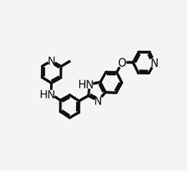 Cc1cc(Nc2cccc(-c3nc4ccc(Oc5ccncc5)cc4[nH]3)c2)ccn1